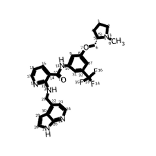 CN1CCC[C@H]1COc1cc(NC(=O)c2cccnc2NCc2ccnc3[nH]ccc23)cc(C(F)(F)F)c1